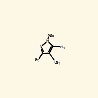 CCCCn1nc(CC)c(O)c1CCC